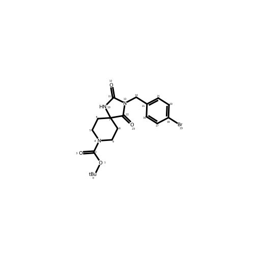 CC(C)(C)OC(=O)N1CCC2(CC1)NC(=O)N(Cc1ccc(Br)cc1)C2=O